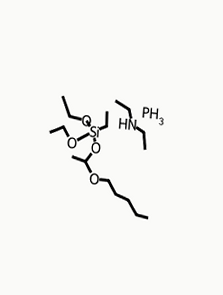 CCCCCOC(C)O[Si](CC)(OCC)OCC.CCNCC.P